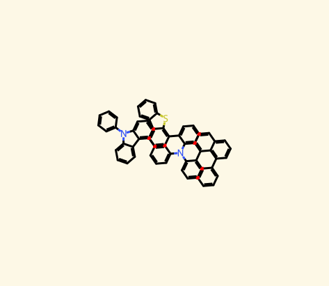 c1ccc(-c2cccc3cccc(-c4ccccc4N(c4cccc(-c5cccc6c5c5ccccc5n6-c5ccccc5)c4)c4ccccc4-c4cccc5c4sc4ccccc45)c23)cc1